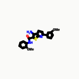 COc1cccc(-c2ccc3c(N)c(C(=O)Nc4ccccc4OC)sc3n2)c1